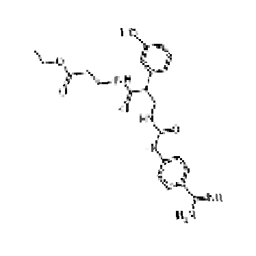 CCOC(=O)CCNC(=O)C(CNC(=O)Nc1ccc(C(=N)N)cc1)c1cccc(O)c1